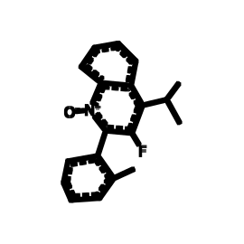 Cc1ccccc1-c1c(F)c(C(C)C)c2ccccc2[n+]1[O-]